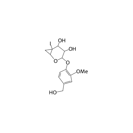 COc1cc(CO)ccc1OC1OC2CC2(I)C(O)C1O